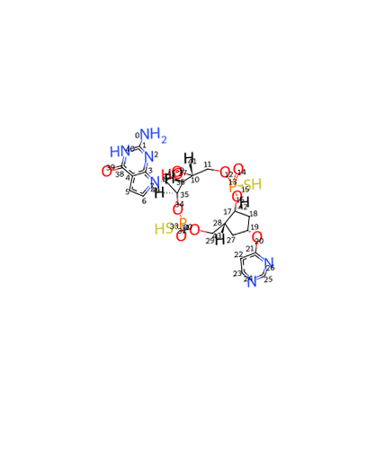 Nc1nc2c(ccn2[C@@H]2O[C@@H]3CO[P@@](=O)(S)O[C@H]4C[C@H](Oc5ccncn5)C[C@@H]4CO[P@@](=O)(S)O[C@@H]2[C@@H]3O)c(=O)[nH]1